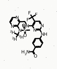 [2H]C([2H])([2H])N(c1nccnc1CNc1nc(Nc2ccc(C(N)=O)cc2)ncc1C(F)(F)F)S(C)(=O)=O